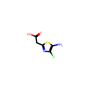 Nc1sc(CC(=O)O)nc1Cl